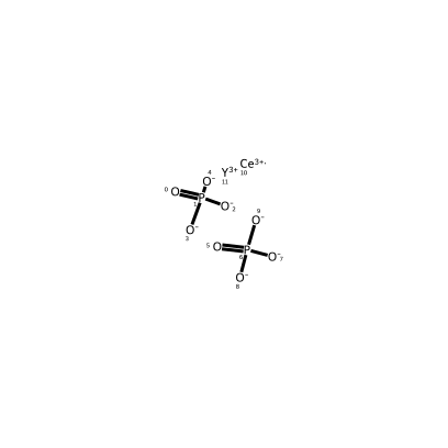 O=P([O-])([O-])[O-].O=P([O-])([O-])[O-].[Ce+3].[Y+3]